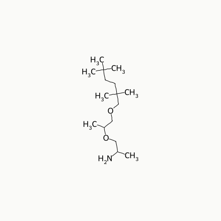 CC(N)COC(C)COCC(C)(C)CCC(C)(C)C